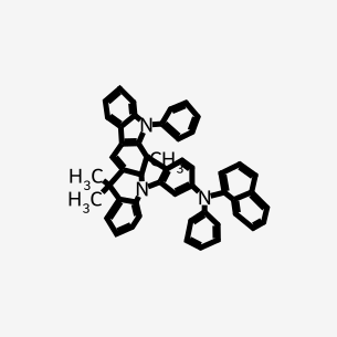 CC1(C)C2=Cc3c(n(-c4ccccc4)c4ccccc34)C3(C)c4ccc(N(c5ccccc5)c5cccc6ccccc56)cc4N(c4ccccc41)C23